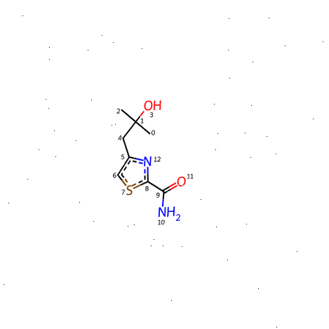 CC(C)(O)Cc1csc(C(N)=O)n1